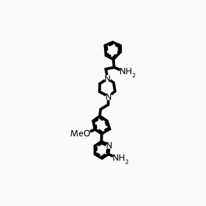 COc1cc(CCN2CCN(CC(N)c3ccccc3)CC2)ccc1-c1cccc(N)n1